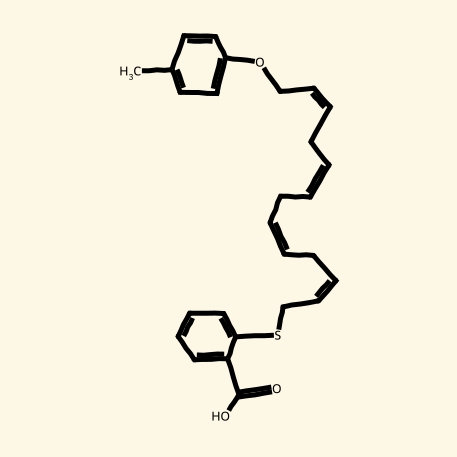 Cc1ccc(OC/C=C\C/C=C\C/C=C\C/C=C\CSc2ccccc2C(=O)O)cc1